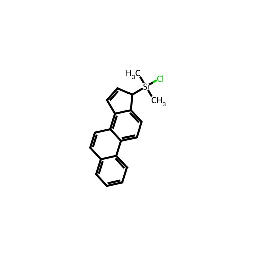 C[Si](C)(Cl)C1C=Cc2c1ccc1c2ccc2ccccc21